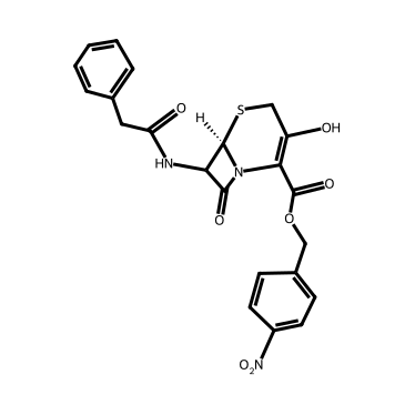 O=C(Cc1ccccc1)NC1C(=O)N2C(C(=O)OCc3ccc([N+](=O)[O-])cc3)=C(O)CS[C@H]12